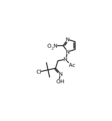 CC(=O)N(CC(=NO)C(C)(C)Cl)n1ccnc1[N+](=O)[O-]